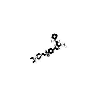 CCN(CC)N1CCN(CCS(=O)(=O)c2ccc(-c3cnc(N)c(C(=O)Nc4ccccc4)n3)cc2)CC1